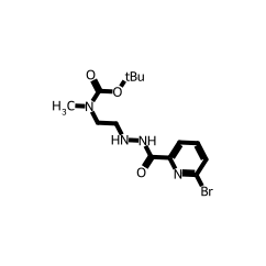 CN(CCNNC(=O)c1cccc(Br)n1)C(=O)OC(C)(C)C